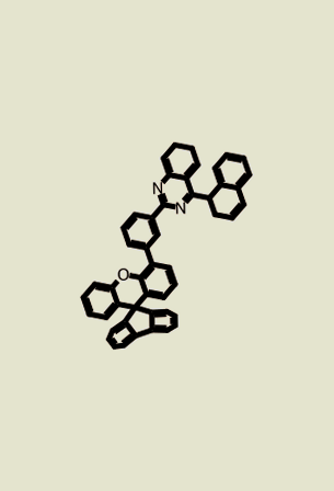 C1=Cc2ccccc2C(c2nc(-c3cccc(-c4cccc5c4Oc4ccccc4C54c5ccccc5-c5ccccc54)c3)nc3c2=CCCC=3)C1